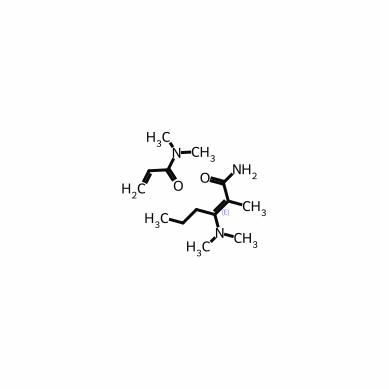 C=CC(=O)N(C)C.CCC/C(=C(/C)C(N)=O)N(C)C